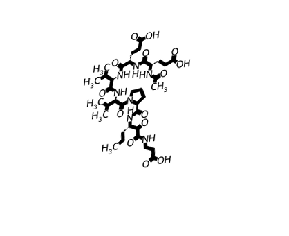 CCC[C@H](NC(=O)[C@@H]1CCCN1C(=O)[C@@H](NC(=O)[C@@H](NC(=O)[C@H](CCC(=O)O)NC(=O)[C@H](CCC(=O)O)NC(C)=O)C(C)C)C(C)C)C(=O)C(=O)NCCC(=O)O